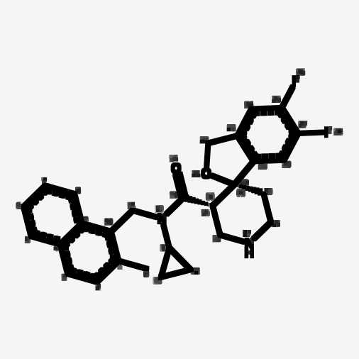 Cc1ccc2ccccc2c1CN(C(=O)[C@H]1CNCC[C@@]12OCc1cc(F)c(F)cc12)C1CC1